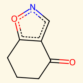 O=C1CCCc2oncc21